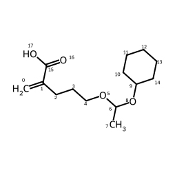 C=C(CCCOC(C)OC1CCCCC1)C(=O)O